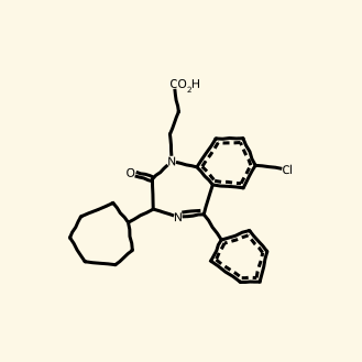 O=C(O)CCN1C(=O)C(C2CCCCCC2)N=C(c2ccccc2)c2cc(Cl)ccc21